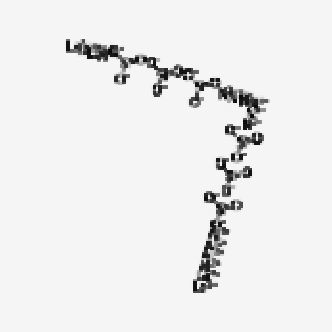 O=[Si]([O-])[O-].O=[Si]([O-])[O-].O=[Si]([O-])[O-].O=[Si]([O-])[O-].O=[Si]([O-])[O-].O=[Si]([O-])[O-].[Al+3].[Al+3].[Al+3].[Al+3].[Al+3].[La+3].[La+3].[La+3].[La+3].[La+3].[N-3].[N-3].[N-3].[N-3].[N-3].[N-3]